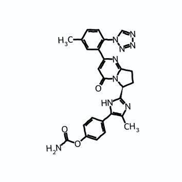 Cc1ccc(-n2cnnn2)c(-c2cc(=O)n3c(n2)CC[C@H]3c2nc(C)c(-c3ccc(OC(N)=O)cc3)[nH]2)c1